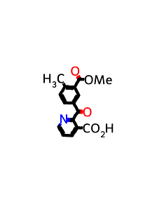 COC(=O)c1cc(C(=O)c2ncccc2C(=O)O)ccc1C